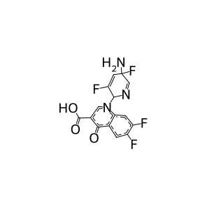 NC1(F)C=NC(n2cc(C(=O)O)c(=O)c3cc(F)c(F)cc32)C(F)=C1